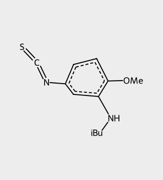 CCC(C)Nc1cc(N=C=S)ccc1OC